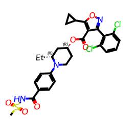 CC[C@@H]1C[C@H](OC(=O)c2c(-c3c(Cl)cccc3Cl)noc2C2CC2)CCN1c1ccc(C(=O)NS(C)(=O)=O)cc1